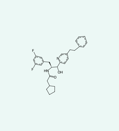 O=C(CC1CCCC1)N[C@@H](Cc1cc(F)cc(F)c1)C(O)c1ccc(CCc2ccccc2)cn1